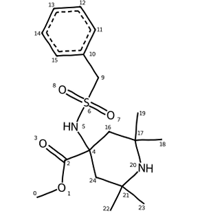 COC(=O)C1(NS(=O)(=O)Cc2ccccc2)CC(C)(C)NC(C)(C)C1